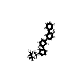 CC1(C)OB(c2cccc3c2sc2ccc(-c4ccc5sc6ccccc6c5c4)cc23)OC1(C)C